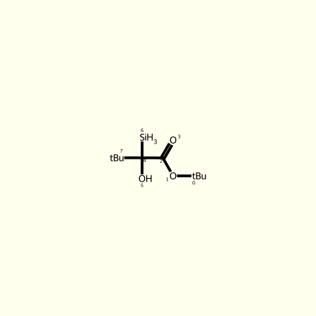 CC(C)(C)OC(=O)C(O)([SiH3])C(C)(C)C